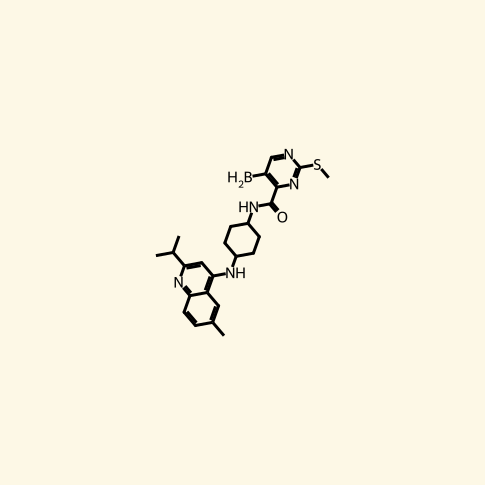 Bc1cnc(SC)nc1C(=O)NC1CCC(Nc2cc(C(C)C)nc3ccc(C)cc23)CC1